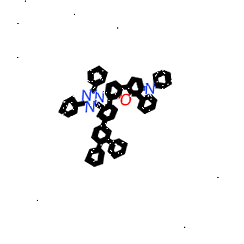 c1ccc(-c2nc(-c3ccccc3)nc(-c3cc(-c4ccc(-c5ccccc5)c(-c5ccccc5)c4)ccc3-c3cccc4c3oc3c4ccc4c3c3ccccc3n4-c3ccccc3)n2)cc1